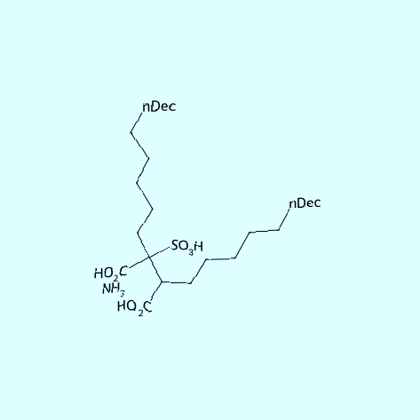 CCCCCCCCCCCCCCCC(C(=O)O)C(CCCCCCCCCCCCCCC)(C(=O)O)S(=O)(=O)O.N